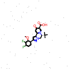 COc1c(-c2cc3n(n2)C[C@@H](C(C)(C)C)n2cc(C(=O)O)c(=O)cc2-3)ccc(F)c1F